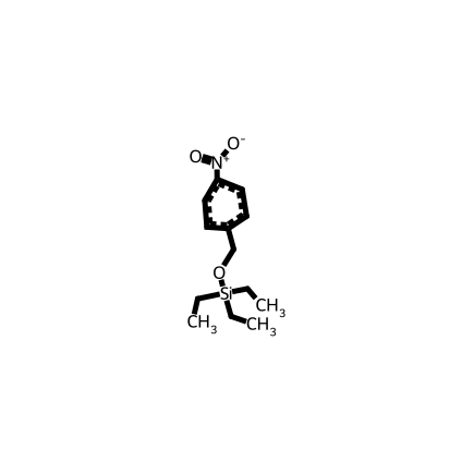 CC[Si](CC)(CC)OCc1ccc([N+](=O)[O-])cc1